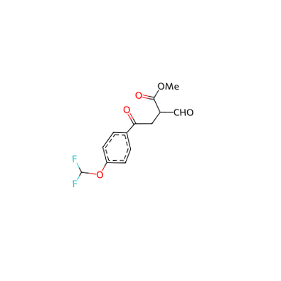 COC(=O)C(C=O)CC(=O)c1ccc(OC(F)F)cc1